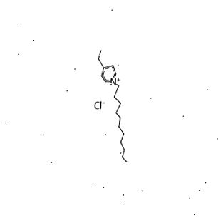 CCCCCCCCCCC[n+]1ccc(CC)cc1.[Cl-]